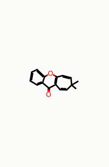 CC1(C)C=Cc2oc3ccccc3c(=O)c2C=C1